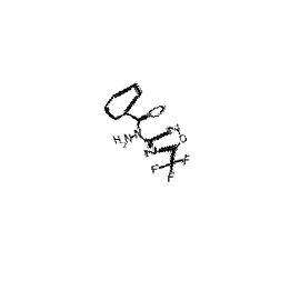 NN(C(=O)c1ccccc1)c1noc(C(F)(F)F)n1